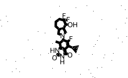 CC1c2[nH]c(=O)[nH]c(=O)c2C(C2CC2)=C(F)C1N1CC2CCCC(F)(F)C(O)C2C1